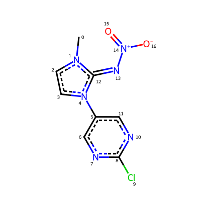 Cn1ccn(-c2cnc(Cl)nc2)c1=N[N+](=O)[O-]